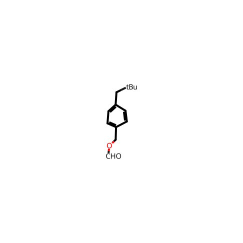 CC(C)(C)Cc1ccc(COC=O)cc1